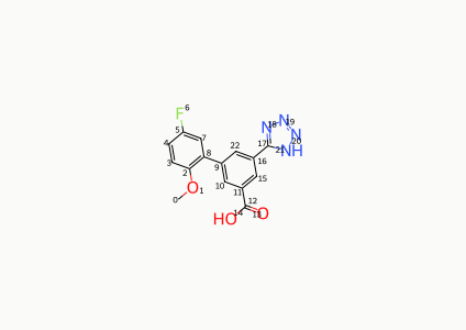 COc1ccc(F)cc1-c1cc(C(=O)O)cc(-c2nnn[nH]2)c1